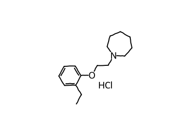 CCc1ccccc1OCCN1CCCCCC1.Cl